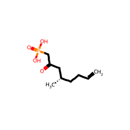 C=CCC[C@H](C)CC(=O)CP(=O)(O)O